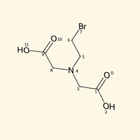 O=C(O)CN(CCBr)CC(=O)O